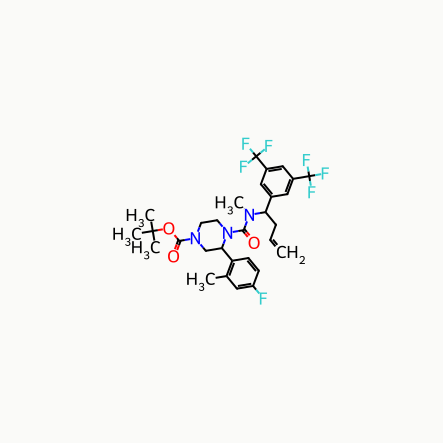 C=CCC(c1cc(C(F)(F)F)cc(C(F)(F)F)c1)N(C)C(=O)N1CCN(C(=O)OC(C)(C)C)CC1c1ccc(F)cc1C